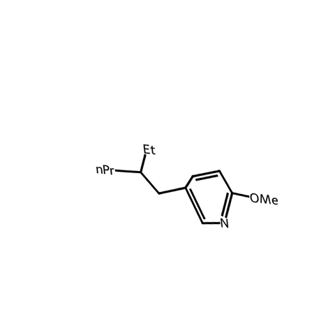 CCCC(CC)Cc1ccc(OC)nc1